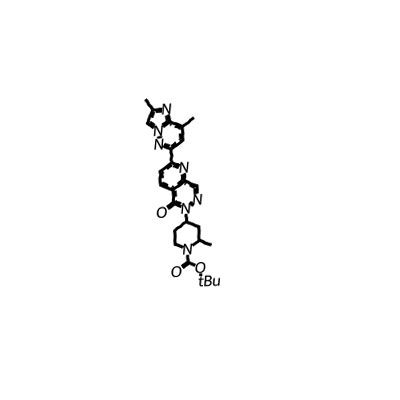 Cc1cn2nc(-c3ccc4c(=O)n(C5CCN(C(=O)OC(C)(C)C)C(C)C5)ncc4n3)cc(C)c2n1